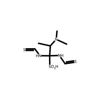 CC(N(C)C)C(NC=S)(NC=S)S(=O)(=O)O